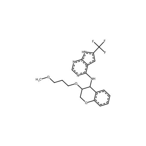 COCCCOC1COc2ccccc2C1Nc1ncnc2[nH]c(C(F)(F)F)cc12